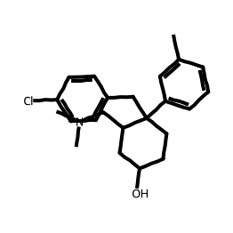 Cc1cccc(C2(Cc3ccc(Cl)cc3)CCC(O)CC2CN(C)C)c1